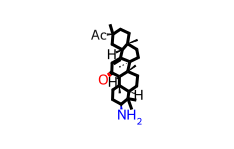 CC(=O)[C@@]1(C)CC[C@]2(C)CC[C@]3(C)C(=CC(=O)[C@@H]4[C@@]5(C)CC[C@H](N)C(C)(C)[C@@H]5CC[C@]43C)[C@@H]2C1